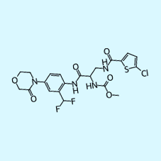 COC(=O)NC(CNC(=O)c1ccc(Cl)s1)C(=O)Nc1ccc(N2CCOCC2=O)cc1C(F)F